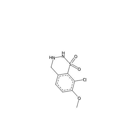 COc1ccc2c(c1Cl)S(=O)(=O)NNC2